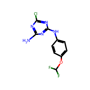 Nc1nc(Cl)nc(Nc2ccc(OC(F)F)cc2)n1